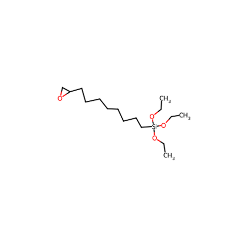 CCO[Si](CCCCCCCCC1CO1)(OCC)OCC